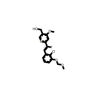 COCOc1cccc(/C=C(\F)c2cc(OC)c(CO)cn2)c1Cl